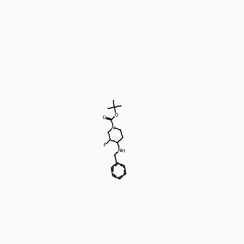 CC(C)(C)OC(=O)N1CCC(NCc2ccccc2)C(F)C1